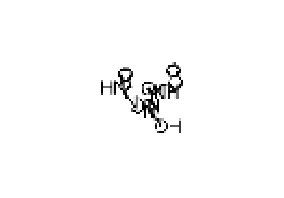 O=C(NCc1cccc2ccccc12)c1nn(CCO)c2c1CN(Cc1cc3ccccc3[nH]1)CC2